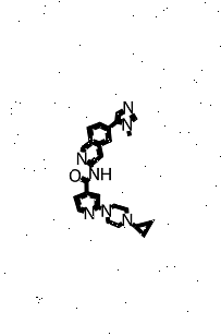 Cn1cncc1-c1ccc2cnc(NC(=O)c3ccnc(N4CCN(C5CC5)CC4)c3)cc2c1